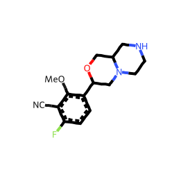 COc1c(C2CN3CCNCC3CO2)ccc(F)c1C#N